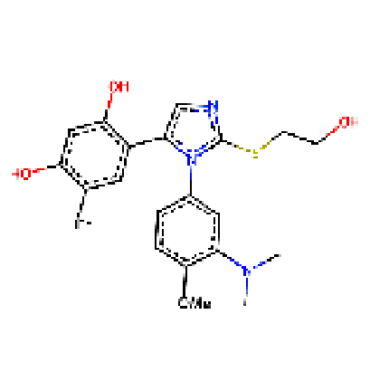 COc1ccc(-n2c(-c3cc(C(C)C)c(O)cc3O)cnc2SCCO)cc1N(C)C